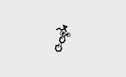 CCCC1(CS(=O)(=O)N2CCC(N3CCCCC3)CC2)CC1